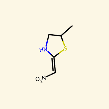 CC1CNC(=C[N+](=O)[O-])S1